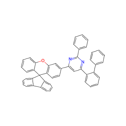 c1ccc(-c2nc(-c3ccc4c(c3)Oc3ccccc3C43c4ccccc4-c4ccccc43)cc(-c3ccccc3-c3ccccc3)n2)cc1